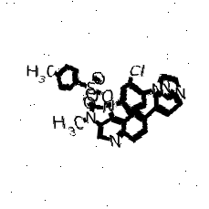 Cc1ccc(S(=O)(=O)O[N+]2(c3ccc(-n4ccnc4)c(Cl)c3)C(=O)N(C)c3cnc4ccc(-c5cccnc5)cc4c32)cc1